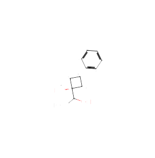 O=S(=O)(O)C(O)[C@]1(O)C[C@H](c2ccccc2)C1